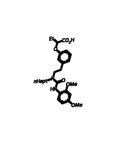 CCCCCCCN(CCc1cccc(OC(CC)C(=O)O)c1)C(=O)Nc1ccc(OC)cc1OC